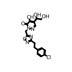 Cc1c(C(O)CO)cnn(Cc2nc(CCc3ccc(Cl)cc3)no2)c1=O